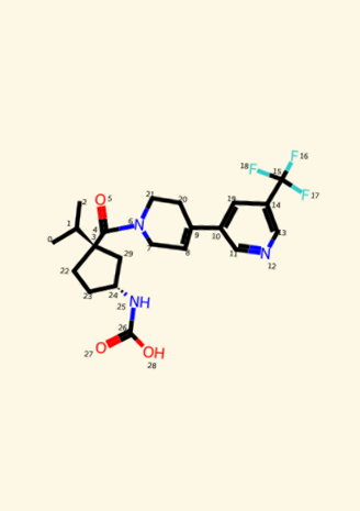 CC(C)[C@]1(C(=O)N2CC=C(c3cncc(C(F)(F)F)c3)CC2)CC[C@@H](NC(=O)O)C1